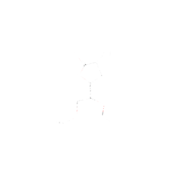 CCCCOCC(OCCCC)C1CC(C)C(=O)O1